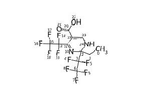 CCC1(C(F)(F)C(F)(F)F)N=C(C(F)(F)C(F)(F)F)C(C(=O)O)=CN1